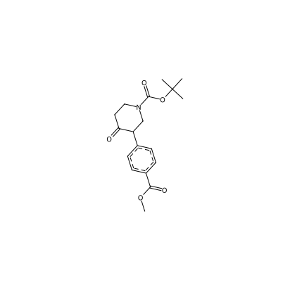 COC(=O)c1ccc(C2CN(C(=O)OC(C)(C)C)CCC2=O)cc1